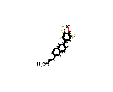 C=CCCc1ccc2cc(-c3cc(F)c(OC(F)(F)F)c(F)c3)ccc2c1